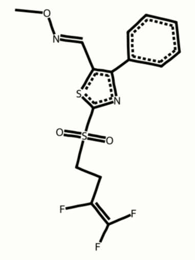 CON=Cc1sc(S(=O)(=O)CCC(F)=C(F)F)nc1-c1ccccc1